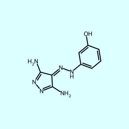 NC1=NN=C(N)C1=NNc1cccc(O)c1